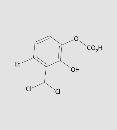 CCc1ccc(OC(=O)O)c(O)c1C(Cl)Cl